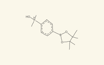 CC1(C)OB(c2ccc([PH](C)(C)O)cc2)OC1(C)C